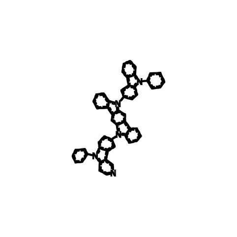 c1ccc(-n2c3ccccc3c3cc(-n4c5ccccc5c5cc6c(cc54)c4ccccc4n6-c4ccc5c(c4)c4cnccc4n5-c4ccccc4)ccc32)cc1